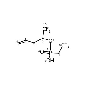 C=CCC(OP(=O)(O)CC(F)(F)F)C(F)(F)F